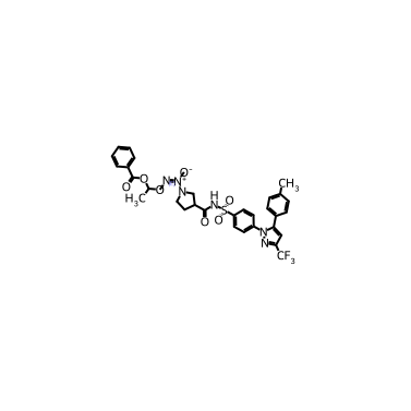 Cc1ccc(-c2cc(C(F)(F)F)nn2-c2ccc(S(=O)(=O)NC(=O)C3CCN(/[N+]([O-])=N\OC(C)OC(=O)c4ccccc4)C3)cc2)cc1